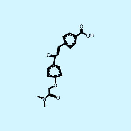 CN(C)C(=O)COc1ccc(C(=O)C=Cc2ccc(C(=O)O)cc2)cc1